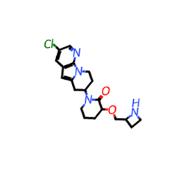 O=C1C(OCC2CCN2)CCCN1C1CCn2c(cc3cc(Cl)cnc32)C1